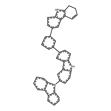 C1=Cc2c([pH]c3ccc(-c4cccc(-c5ccc6[pH]c7ccc(-n8c9ccccc9c9ccccc98)cc7c6c5)c4)cc23)CC1